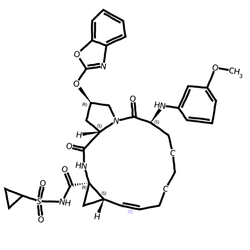 COc1cccc(N[C@H]2CCCCC/C=C\[C@@H]3C[C@@]3(C(=O)NS(=O)(=O)C3CC3)NC(=O)[C@@H]3C[C@@H](Oc4nc5ccccc5o4)CN3C2=O)c1